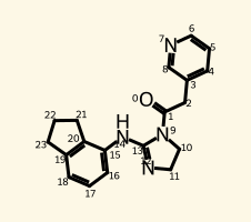 O=C(Cc1cccnc1)N1CCN=C1Nc1cccc2c1CCC2